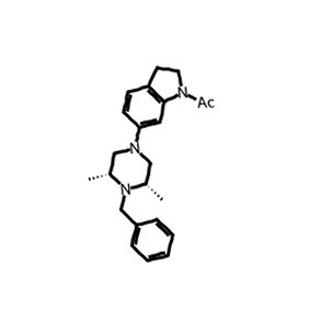 CC(=O)N1CCc2ccc(N3C[C@@H](C)N(Cc4ccccc4)[C@@H](C)C3)cc21